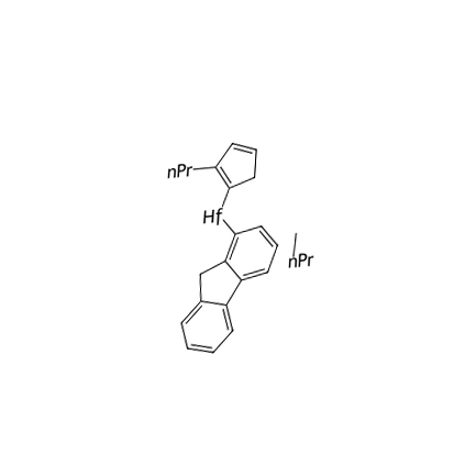 CCCC.CCCC1=[C]([Hf][c]2cccc3c2Cc2ccccc2-3)CC=C1